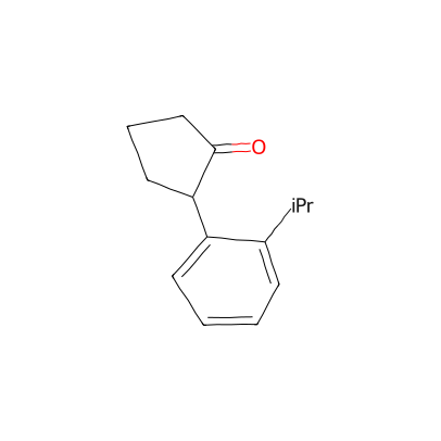 CC(C)c1ccccc1C1CCCC1=O